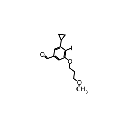 COCCCOc1cc(C=O)cc(C2CC2)c1I